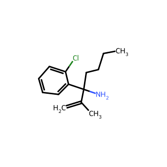 C=C(C)C(N)(CCCC)c1ccccc1Cl